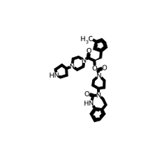 Cc1cccc(C[C@@H](OC(=O)N2CCC(N3CCc4ccccc4NC3=O)CC2)C(=O)N2CCN(C3CCNCC3)CC2)c1